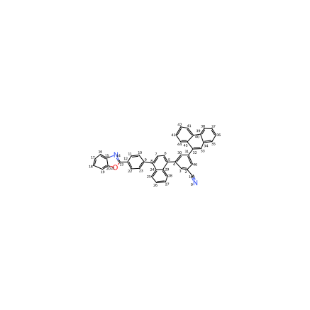 N#Cc1cc(-c2ccc(-c3ccc(-c4nc5ccccc5o4)cc3)c3ccccc23)cc(-c2cc3ccccc3c3ccccc23)c1